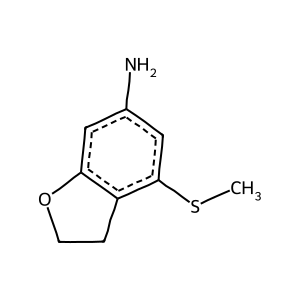 CSc1cc(N)cc2c1CCO2